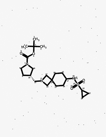 CC(C)(C)OC(=O)N1CC[C@@H](CN2CC3(CCC(NS(=O)(=O)C4CC4)CC3)C2)C1